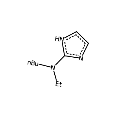 CCCCN(CC)c1ncc[nH]1